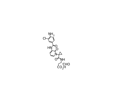 Nc1ccc(C(=O)Nc2cccn(C3(C(=O)N[C@H](C=O)CC(=O)O)CC3)c2=O)cc1Cl